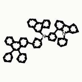 c1ccc(-c2c(-c3ccccc3)c3cc(-c4cccc(N(c5cccc(-c6cccc7c8ccccc8n(-c8ccccc8)c67)c5)c5cc6ccccc6c6ccccc56)c4)ccc3c3ccccc23)cc1